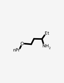 [CH2]CC(N)CCOCCC